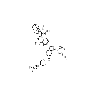 COC[C@H](C)n1cc(-c2ccc(C(=O)NC3(C(=O)O)C4CC5CC(C4)CC3C5)c(C(F)(F)F)n2)c2ccc(O[C@H]3CC[C@H](N4CC(F)(F)C4)CC3)cc21